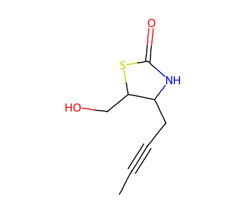 CC#CCC1NC(=O)SC1CO